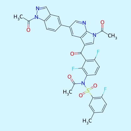 CC(=O)N(c1ccc(F)c(C(=O)c2cn(C(C)=O)c3ncc(-c4ccc5c(cnn5C(C)=O)c4)cc23)c1F)S(=O)(=O)c1cc(C)ccc1F